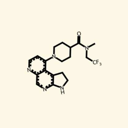 CN(CC(F)(F)F)C(=O)C1CCN(c2ccnc3cnc4c(c23)CCN4)CC1